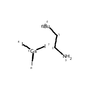 CCCCCCN.[I][Ga]([I])[I]